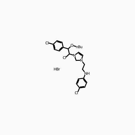 Br.CCCCOC(c1ccc(Cl)cc1)C(Cl)N1C=CN(CCNc2ccc(Cl)cc2)C1